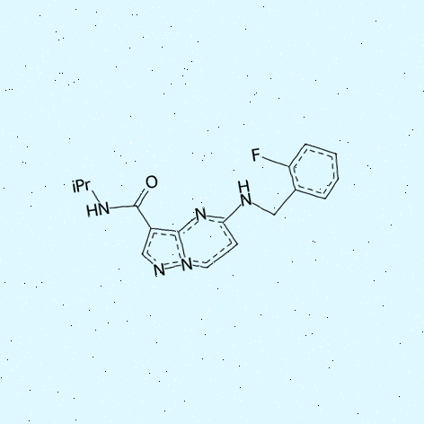 CC(C)NC(=O)c1cnn2ccc(NCc3ccccc3F)nc12